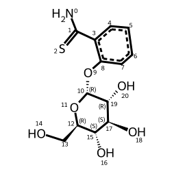 NC(=S)c1ccccc1O[C@H]1O[C@H](CO)[C@@H](O)[C@H](O)[C@H]1O